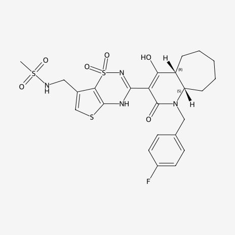 CS(=O)(=O)NCc1csc2c1S(=O)(=O)N=C(C1=C(O)[C@@H]3CCCCC[C@@H]3N(Cc3ccc(F)cc3)C1=O)N2